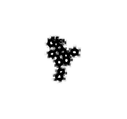 CC1(C)c2ccccc2-c2c(-c3ccccc3N(c3ccc(-c4ccc5ccccc5c4)cc3)c3cccc4c3c3ccccc3n4-c3ccccc3)cccc21